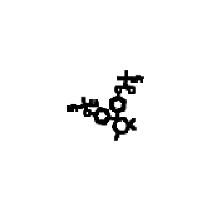 CCCC(C)(CC)Oc1ccc(C2(c3ccc(OC(=O)C(C)(C)CCC)cc3)CC(C)CC(C)(C)C2)cc1